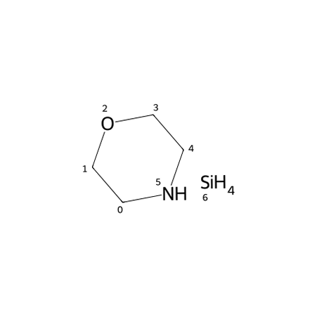 C1COCCN1.[SiH4]